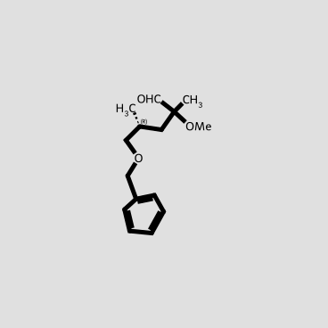 COC(C)(C=O)C[C@@H](C)COCc1ccccc1